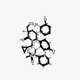 C[C@]1(CC(=O)O)C[C@H](c2cccc(Cl)c2)[C@@H](c2ccc(Cl)cc2)N([C@H](CN(c2ccccn2)S(C)(=O)=O)C2CC2)C1=O